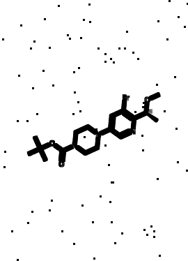 CO[C@@H](C)c1ncc(N2CCN(C(=O)OC(C)(C)C)CC2)cc1Br